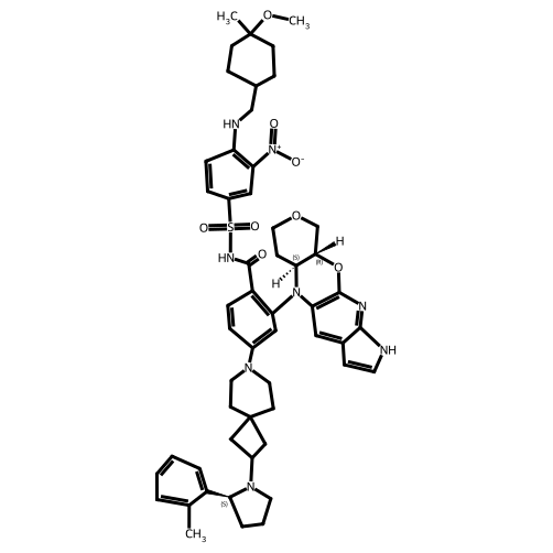 COC1(C)CCC(CNc2ccc(S(=O)(=O)NC(=O)c3ccc(N4CCC5(CC4)CC(N4CCC[C@H]4c4ccccc4C)C5)cc3N3c4cc5cc[nH]c5nc4O[C@H]4COCC[C@@H]43)cc2[N+](=O)[O-])CC1